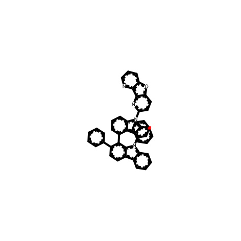 c1ccc(-c2ccc3c4ccccc4n(-c4ccccc4)c3c2-c2cccc3c2c2ccccc2n3-c2ccc3oc4cccnc4c3n2)cc1